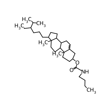 CCCCNC(=O)OC1CCC2(C)C(=CCC3C2CCC2(C)C(CCCC(CC)C(C)C)CCC32)C1